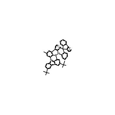 Cc1cc2c3c(c1)-n1c4ccc(C(C)(C)C)cc4c4cc(C(C)(C)C)cc(c41)B3N1c3ccccc3C3(c4ccccc4-c4ccccc43)c3cccc-2c31